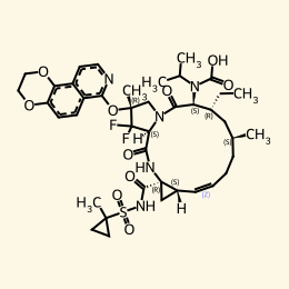 CC[C@@H]1C[C@@H](C)CC/C=C\[C@@H]2C[C@@]2(C(=O)NS(=O)(=O)C2(C)CC2)NC(=O)[C@@H]2N(C[C@@](C)(Oc3nccc4c5c(ccc34)OCCO5)C2(F)F)C(=O)[C@H]1N(C(=O)O)C(C)C